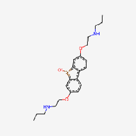 CCCNCCOc1ccc2c3ccc(OCCNCCC)cc3[s+]([O-])c2c1